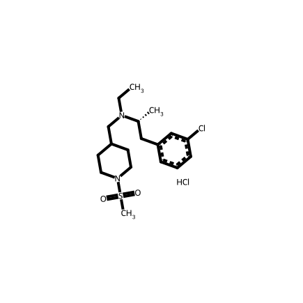 CCN(CC1CCN(S(C)(=O)=O)CC1)[C@H](C)Cc1cccc(Cl)c1.Cl